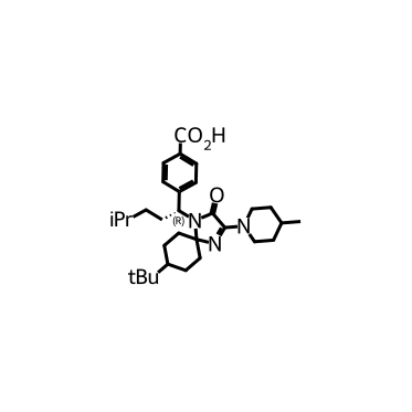 CC(C)CC[C@H](c1ccc(C(=O)O)cc1)N1C(=O)C(N2CCC(C)CC2)=NC12CCC(C(C)(C)C)CC2